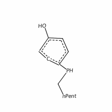 CCCCCCPc1ccc(O)cc1